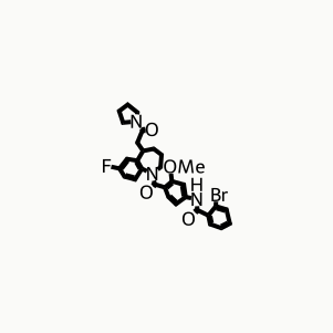 COc1cc(NC(=O)c2ccccc2Br)ccc1C(=O)N1CCCC(CC(=O)N2CCCC2)c2cc(F)ccc21